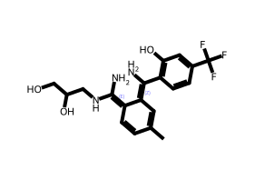 Cc1ccc(=C(/N)NCC(O)CO)/c(=C(\N)c2ccc(C(F)(F)F)cc2O)c1